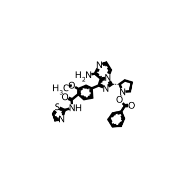 COc1cc(-c2nc([C@@H]3CCCN3OC(=O)c3ccccc3)n3ccnc(N)c23)ccc1C(=O)Nc1nccs1